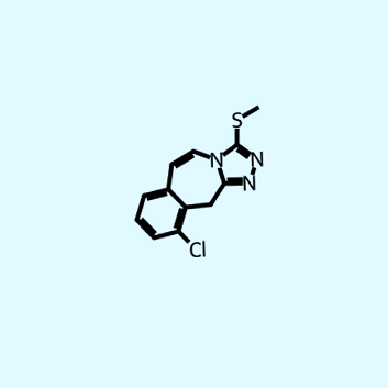 CSc1nnc2n1C=Cc1cccc(Cl)c1C2